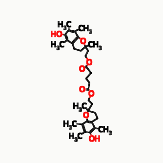 Cc1c(C)c2c(c(C)c1O)CCC(C)(CCOC(=O)CCCC(=O)OCCC1(C)CCc3c(C)c(O)c(C)c(C)c3O1)O2